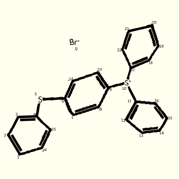 [Br-].c1ccc(Sc2ccc([S+](c3ccccc3)c3ccccc3)cc2)cc1